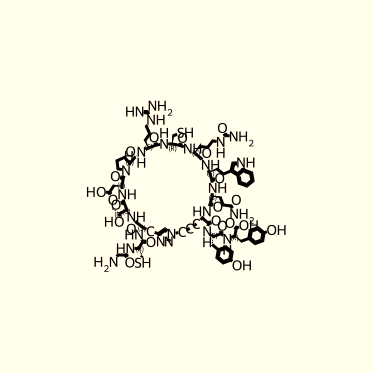 C[C@@H](O)[C@@H]1NC(=O)[C@@H](NC(=O)[C@H](CS)NC(=O)CN)Cc2cn(nn2)CCCC(C(=O)N[C@@H](Cc2ccc(O)cc2)C(=O)N[C@H](Cc2ccc(O)cc2)C(=O)O)NC(=O)[C@H](CCC(N)=O)NC(=O)[C@H](CCc2c[nH]c3ccccc23)NC(=O)[C@H](CCCNC(N)=O)NC(=O)[C@H](CS)NC(=O)[C@H](CCCNC(=N)N)NC(=O)[C@@H]2CCCN2C(=O)[C@H](CC(=O)O)NC1=O